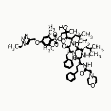 CCn1cc(COc2cc(C)c(S(=O)(=O)OCC(C)(O)C(=O)C(CC(C)C)NC(=O)[C@H](Cc3ccccc3)NC(=O)[C@H](CC(C)C)NC(=O)[C@H](CCc3ccccc3)NC(=O)CN3CCOCC3)c(C)c2)nn1